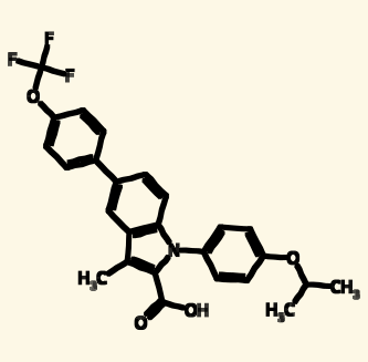 Cc1c(C(=O)O)n(-c2ccc(OC(C)C)cc2)c2ccc(-c3ccc(OC(F)(F)F)cc3)cc12